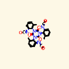 Cc1cccc(N=C=O)c1-n1c(=O)n(-c2c(C)cccc2N=C=O)c(=O)n(-c2c(C)cccc2N=C=O)c1=O